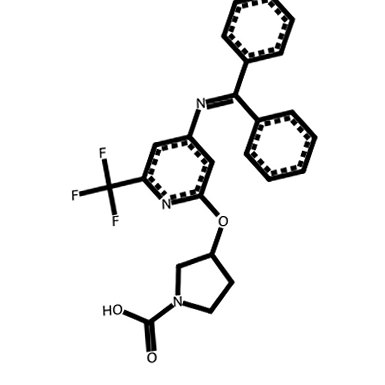 O=C(O)N1CCC(Oc2cc(N=C(c3ccccc3)c3ccccc3)cc(C(F)(F)F)n2)C1